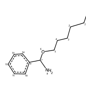 CCCCCCOC(N)c1cc[c]cc1